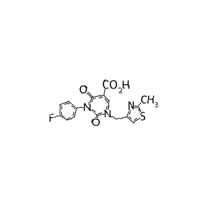 Cc1nc(Cn2cc(C(=O)O)c(=O)n(-c3ccc(F)cc3)c2=O)cs1